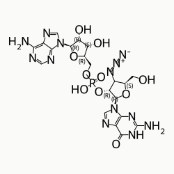 [N-]=[N+]=NC1[C@@H](OP(=O)(O)OC[C@H]2O[C@@H](n3cnc4c(N)ncnc43)[C@H](O)[C@@H]2O)[C@H](n2cnc3c(=O)[nH]c(N)nc32)O[C@@H]1CO